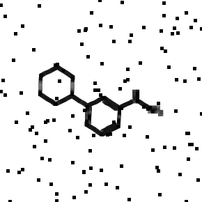 NNc1cccc(C2CCCCC2)c1